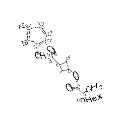 CCCCCCC(C)C(=O)OC1CC(COc2ccc(F)cc2C)C1